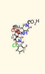 Cc1cccc(Cl)c1CN1C[C@H](C)[C@](CC(=O)OC(C)(C)C)(C(=O)NC2CCN(C(=O)O)CC2)C1